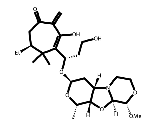 C=C1C(=O)C[C@H](CC)C(C)(C)C([C@H](CCO)O[C@H]2C[C@H]3[C@H](O[C@@H]4[C@@H](OC)OCCN43)[C@H](C)O2)=C1O